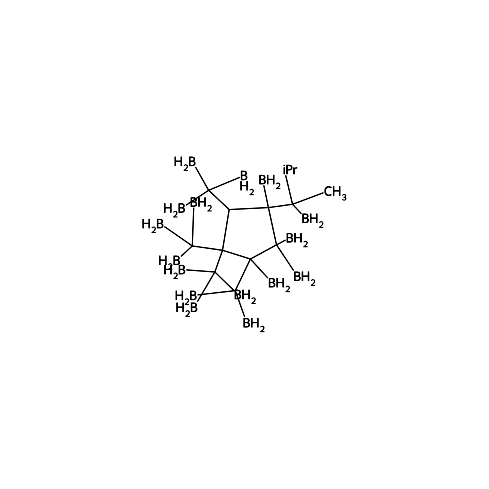 BC(B)C1(B)C(B)(B)C(B)(C(B)(C)C(C)C)C(C(B)(B)B)C1(C(B)(B)B)C(B)(B)B